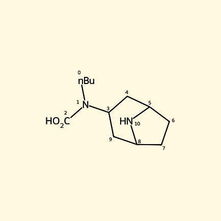 CCCCN(C(=O)O)C1CC2CCC(C1)N2